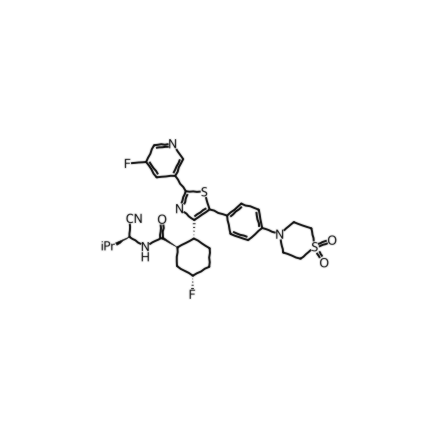 CC(C)[C@@H](C#N)NC(=O)[C@@H]1C[C@@H](F)CC[C@H]1c1nc(-c2cncc(F)c2)sc1-c1ccc(N2CCS(=O)(=O)CC2)cc1